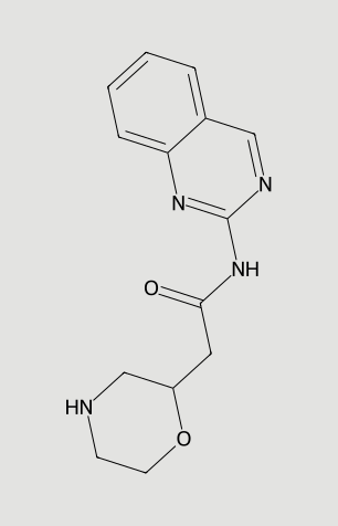 O=C(CC1CNCCO1)Nc1ncc2ccccc2n1